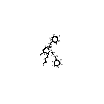 CCCCN1C(=O)C=CC(OCc2ccccc2)C1COCc1ccccc1